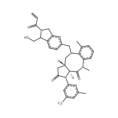 C=CC(=O)N1Cc2nc(CN3C[C@H]4CC(=O)N(c5cc(C(F)(F)F)cc(C)n5)[C@@H]4C(=O)N(C)c4cccc(C)c43)ccc2C1CO